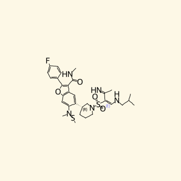 CNC(=O)c1c(-c2ccc(F)cc2)oc2cc(N(C)SC)c([C@H]3CCCN(S(=O)(=O)/C(=C/NCC(C)C)C(C)=N)C3)cc12